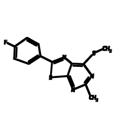 CSc1nc(C)nc2sc(-c3ccc(F)cc3)nc12